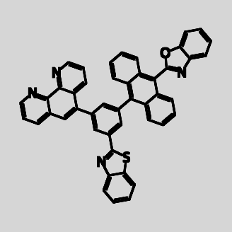 c1cnc2c(c1)cc(-c1cc(-c3nc4ccccc4s3)cc(-c3c4ccccc4c(-c4nc5ccccc5o4)c4ccccc34)c1)c1cccnc12